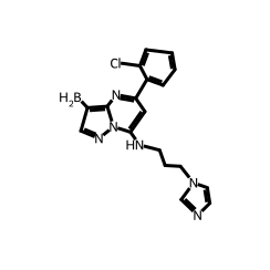 Bc1cnn2c(NCCCn3ccnc3)cc(-c3ccccc3Cl)nc12